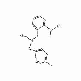 Cc1ccc(CN(Cc2ccccc2N(C)C(C)(C)C)C(C)(C)C)cc1